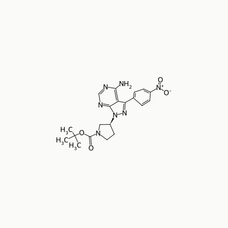 CC(C)(C)OC(=O)N1CC[C@H](n2nc(-c3ccc([N+](=O)[O-])cc3)c3c(N)ncnc32)C1